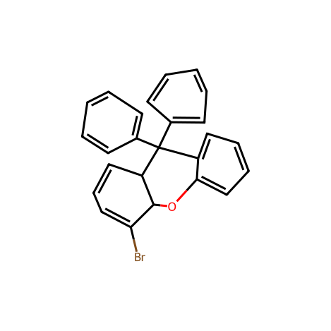 BrC1=CC=CC2C1Oc1ccccc1C2(c1ccccc1)c1ccccc1